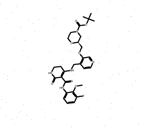 COc1c(F)cccc1NC(=S)C1=C(NCc2ccncc2OC[C@@H]2CN(C(=O)OC(C)(C)C)CCO2)CCNC1=O